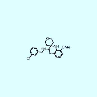 COc1cccc2c1NC1(CCOCC1)C(NCc1cccc(Cl)c1)=N2